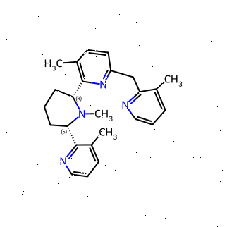 Cc1cccnc1Cc1ccc(C)c([C@H]2CCC[C@@H](c3ncccc3C)N2C)n1